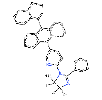 CC1(C)N=C(c2ccccc2)N(c2ccc(-c3c4ccccc4c(-c4cccc5ccccc45)c4ccccc34)cn2)C1(C)C